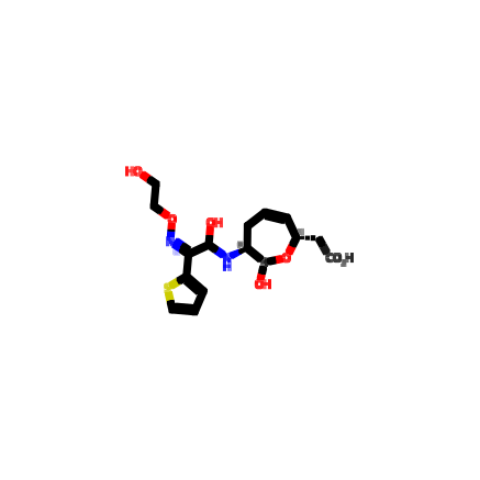 O=C(O)C[C@H]1C=CC[C@H](NC(O)/C(=N\OCCO)c2cccs2)B(O)O1